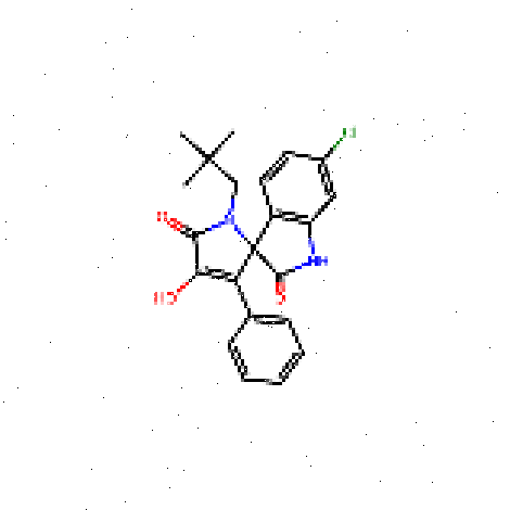 CC(C)(C)CN1C(=O)C(O)=C(c2ccccc2)C12C(=O)Nc1cc(Cl)ccc12